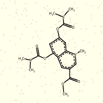 COC(=O)c1cc2c(OC(=O)N(C)C)cc(OC(=O)N(C)C)cc2[n+](C)c1